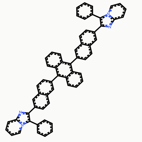 c1ccc(-c2c(-c3ccc4cc(-c5c6ccccc6c(-c6ccc7cc(-c8nc9ccccn9c8-c8ccccc8)ccc7c6)c6ccccc56)ccc4c3)nc3ccccn23)cc1